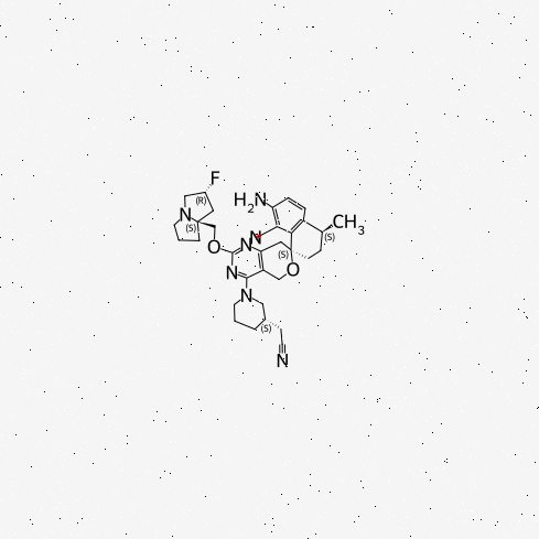 C[C@H]1CC[C@]2(Cc3nc(OC[C@@]45CCCN4C[C@H](F)C5)nc(N4CCC[C@@H](CC#N)C4)c3CO2)c2c1ccc(N)c2C#N